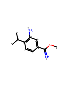 COC(=N)c1ccc(C(C)C)c(N)c1